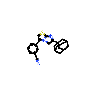 N#Cc1cccc(-c2csc3nc(C45CC6CC(CC(C6)C4)C5)cn23)c1